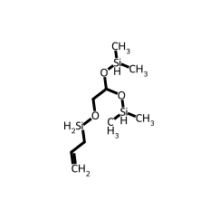 C=CC[SiH2]OCC(O[SiH](C)C)O[SiH](C)C